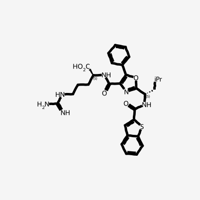 CC(C)C[C@H](NC(=O)c1cc2ccccc2s1)c1nc(C(=O)N[C@@H](CCCNC(=N)N)C(=O)O)c(-c2ccccc2)o1